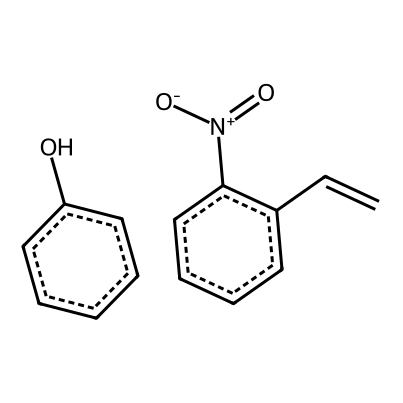 C=Cc1ccccc1[N+](=O)[O-].Oc1ccccc1